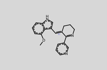 COc1cccc2[nH]cc(/C=C3\CCCN=C3c3cccnc3)c12